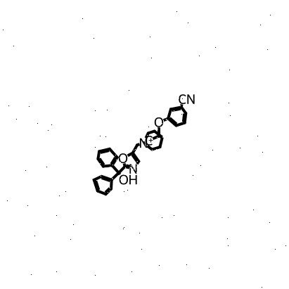 N#Cc1cccc(OC2C[N+]3(Cc4cnc(C(O)(c5ccccc5)c5ccccc5)o4)CCC2CC3)c1